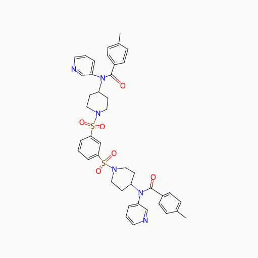 Cc1ccc(C(=O)N(c2cccnc2)C2CCN(S(=O)(=O)c3cccc(S(=O)(=O)N4CCC(N(C(=O)c5ccc(C)cc5)c5cccnc5)CC4)c3)CC2)cc1